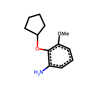 COc1cccc(N)c1OC1CCCC1